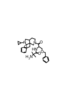 CC(C)(N)C(=O)NC(COCc1ccccc1)C(=O)N1CCC2CN(C3CC3)C(=O)C2(Cc2ccccc2)C1